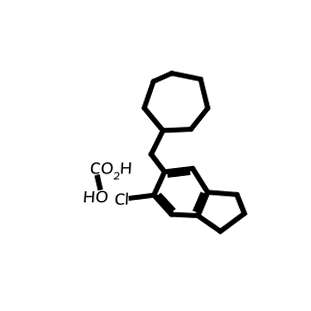 Clc1cc2c(cc1CC1CCCCCC1)CCC2.O=C(O)O